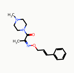 C/C(=N/OC/C=C/c1ccccc1)C(=O)N1CCN(C)CC1